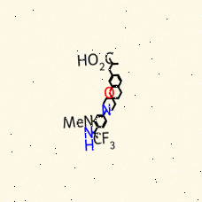 CNc1cc(N2CCC3(CCc4ccc(CC(C)C(=O)O)cc4O3)CC2)ccc1C(=N)C(F)(F)F